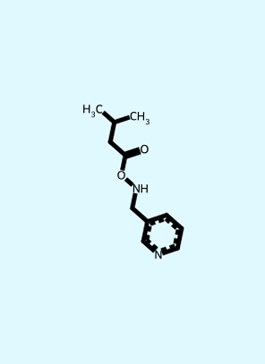 CC(C)CC(=O)ONCc1cccnc1